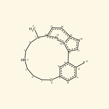 CN1CCNCCCOc2ccc(F)c(c2)-c2cnc3ccc1nn23